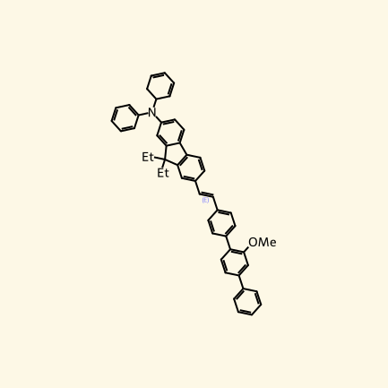 CCC1(CC)c2cc(/C=C/c3ccc(-c4ccc(-c5ccccc5)cc4OC)cc3)ccc2-c2ccc(N(c3ccccc3)C3C=CC=CC3)cc21